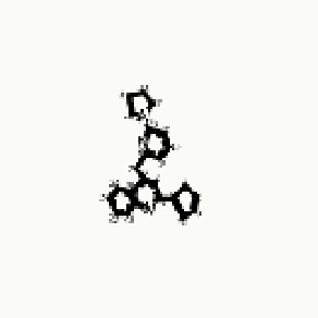 C1=CCC(c2cc(Cc3cccc(N4CCCC4)n3)c3ccccc3n2)=C1